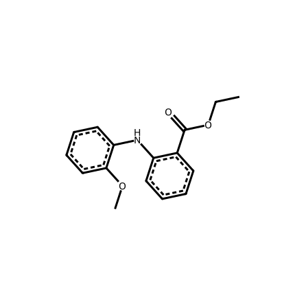 CCOC(=O)c1ccccc1Nc1ccccc1OC